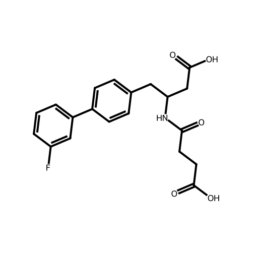 O=C(O)CCC(=O)NC(CC(=O)O)Cc1ccc(-c2cccc(F)c2)cc1